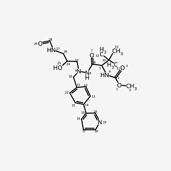 COC(=O)NC(C(=O)NN(Cc1ccc(-c2cccnc2)cc1)CC(O)CNC=O)C(C)(C)C